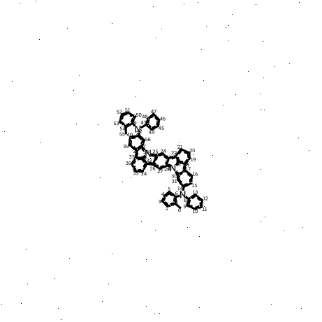 Cc1ccccc1N(c1ccccc1)c1ccc2c3cccc4c5cc6c(cc5n(c2c1)c34)c1cccc2c3ccc(N(c4ccccc4)c4ccccc4C)cc3n6c21